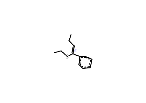 CC/C=C(\SCC)c1ccccc1